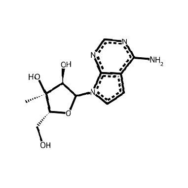 C[C@@]1(O)[C@@H](CO)OC(n2ccc3c(N)ncnc32)[C@@H]1O